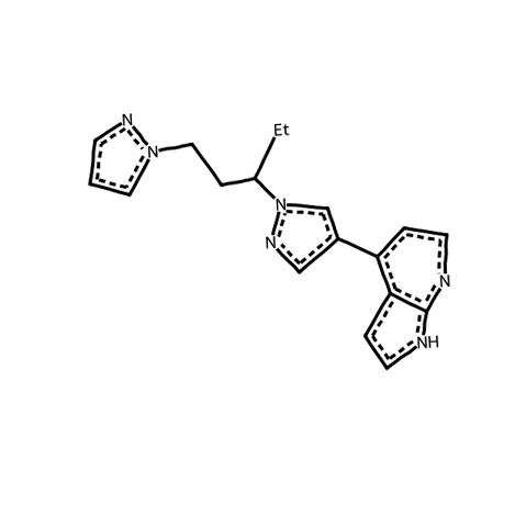 CCC(CCn1cccn1)n1cc(-c2ccnc3[nH]ccc23)cn1